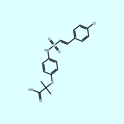 CC(C)(Oc1ccc(NS(=O)(=O)C=Cc2ccc(Cl)cc2)cc1)C(=O)O